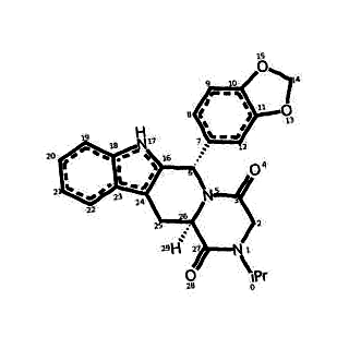 CC(C)N1CC(=O)N2[C@@H](c3ccc4c(c3)OCO4)c3[nH]c4ccccc4c3C[C@@H]2C1=O